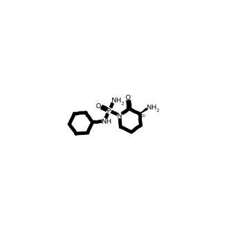 N[C@H]1CCCN(P(N)(=O)NC2CCCCC2)C1=O